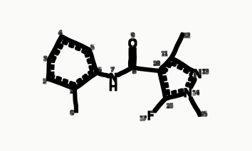 Cc1ccccc1NC(=O)c1c(C)nn(C)c1F